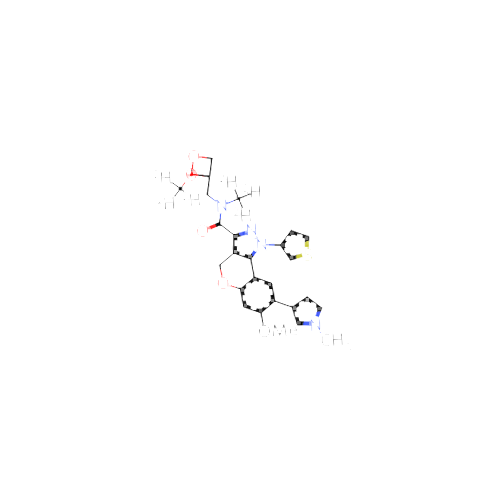 [2H]C([2H])([2H])OC1(CN(C(=O)c2nn(-c3ccsc3)c3c2COc2cc(OC)c(-c4ccn(C)c4)cc2-3)C([2H])([2H])[2H])COC1